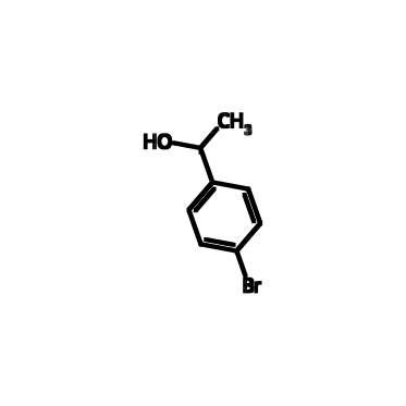 C[C](O)c1ccc(Br)cc1